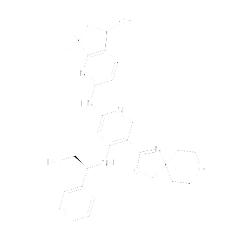 CC1(C)OC(O)c2ccc(Nc3cc(N[C@H](CO)c4ccccc4)c(C4=NC5(CCOCC5)CO4)cn3)nc21